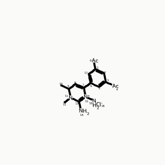 CC(=O)c1cc(C(C)=O)cc(C2=CC(C)N(C)C(N)=[N+]2N)c1.[Cl-]